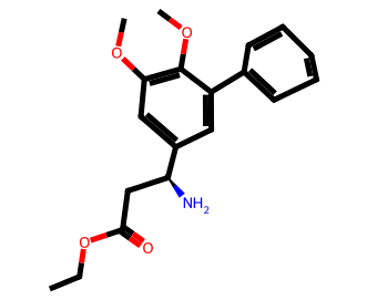 CCOC(=O)C[C@H](N)c1cc(OC)c(OC)c(-c2ccccc2)c1